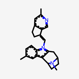 Cc1ccc2c(c1)c1c(n2/C=C2\CCc3cc(C)ncc32)CC2CCC1N2C